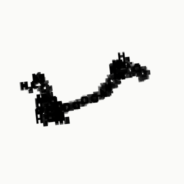 Cc1ncsc1-c1ccc(CNC(=O)[C@@H]2C[C@@H](O)CN2C(=O)[C@@H](NC(=O)COCCOCCOCCOCCN2CCN(C3CCC(n4nc(-c5ccc(Oc6ccccc6)cc5)c5c(N)ncnc54)CC3)CC2)C(C)(C)C)cc1